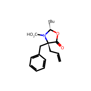 C=CC[C@]1(Cc2ccccc2)C(=O)O[C@@H](C(C)(C)C)N1C(=O)O